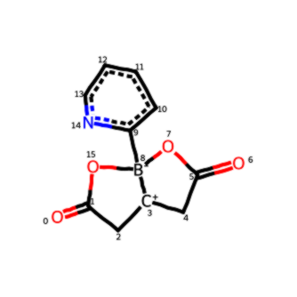 O=C1C[C+]2CC(=O)O[B-]2(c2ccccn2)O1